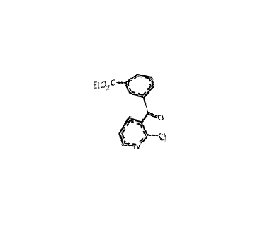 CCOC(=O)c1cccc(C(=O)c2cccnc2Cl)c1